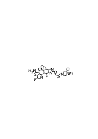 CCN1CCN(CC2(COc3ncc4c5c(c(-c6ncc(F)c7sc(N)c(C#N)c67)c(F)c4n3)COC5)CC2)CC1=O